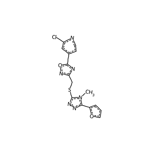 Cn1c(SCc2noc(-c3ccnc(Cl)c3)n2)nnc1-c1ccco1